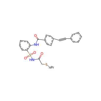 CCCSCC(=O)NS(=O)(=O)c1ccccc1NC(=O)c1ccc(C#Cc2ccccc2)cc1